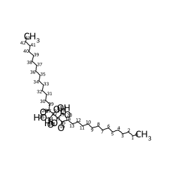 CCCCCCCCCCCCCCCC(=O)C(O)(C(=O)O)C(O)(C(=O)O)C(=O)CCCCCCCCCCCCCCC